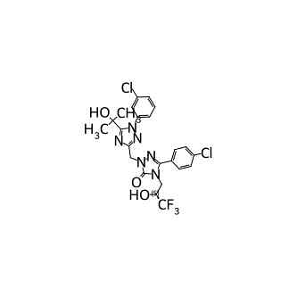 CC(C)(O)c1nc(Cn2nc(-c3ccc(Cl)cc3)n(C[C@H](O)C(F)(F)F)c2=O)nn1-c1cccc(Cl)c1